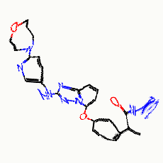 C=C(C(N)=O)c1cccc(Oc2cccc3nc(Nc4ccc(N5CCOCC5)nc4)nn23)c1